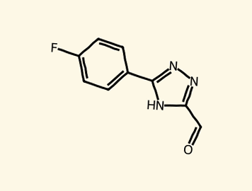 O=Cc1nnc(-c2ccc(F)cc2)[nH]1